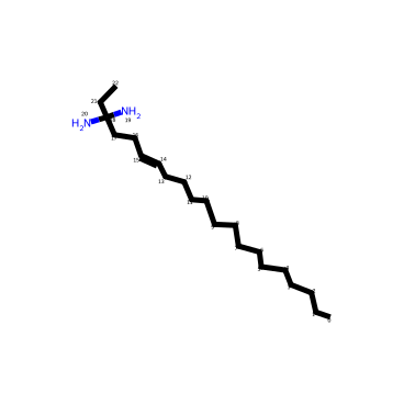 CCCCCCCCCCCCCCC=CCCC(N)(N)CC